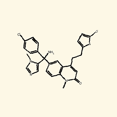 Cn1cncc1C(N)(c1ccc(Cl)cc1)c1ccc2c(c1)c(CCc1ccc(Cl)s1)cc(=O)n2C